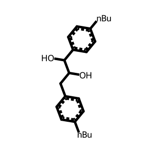 CCCCc1ccc(CC(O)C(O)c2ccc(CCCC)cc2)cc1